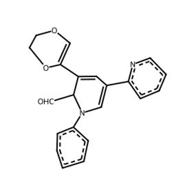 O=CC1C(C2=COCCO2)=CC(c2ccccn2)=CN1c1ccccc1